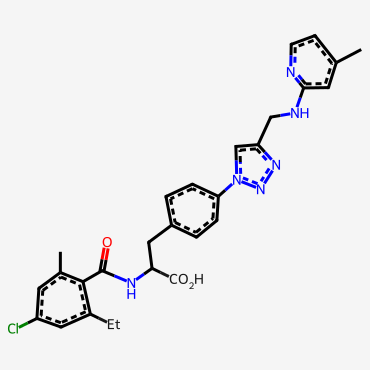 CCc1cc(Cl)cc(C)c1C(=O)NC(Cc1ccc(-n2cc(CNc3cc(C)ccn3)nn2)cc1)C(=O)O